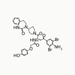 Nc1c(Br)cc(C(=O)C[C@@H](NC(=O)COc2ccc(O)cc2)C(=O)N2CCC(N3CCc4ccccc4NC3=O)CC2)cc1Br